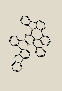 c1ccc(-c2nc(-c3ccccc3-c3cccc4c3oc3ccccc34)nc3c2-c2ccccc2-c2cccc4c5ccccc5n-3c24)cc1